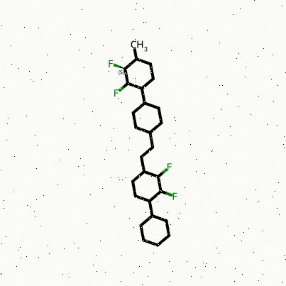 CC1CCC(C2CCC(CCC3CCC(C4CCCCC4)C(F)C3F)CC2)C(F)[C@H]1F